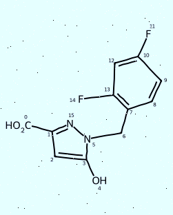 O=C(O)c1cc(O)n(Cc2ccc(F)cc2F)n1